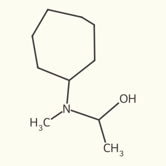 CC(O)N(C)C1CCCCCC1